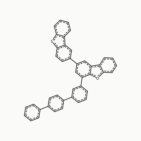 c1ccc(-c2ccc(-c3cccc(-c4cc(-c5ccc6sc7ccccc7c6c5)cc5c4oc4ccccc45)c3)cc2)cc1